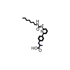 CCCCCCCNC(=O)N(C)c1cccc(-c2ccc(/C=C(\C)C(=O)O)cc2)n1